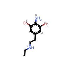 CCNCCc1cc(Br)c(N)c(Br)c1